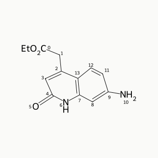 CCOC(=O)Cc1cc(=O)[nH]c2cc(N)ccc12